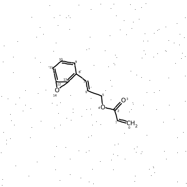 C=CC(=O)OCC=Cc1cccc2c1O2